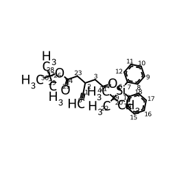 C#CC(CCO[Si](c1ccccc1)(c1ccccc1)C(C)(C)C)CC(=O)OC(C)(C)C